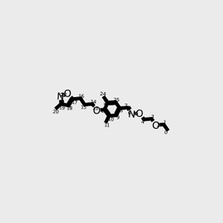 CCOCCON=Cc1cc(C)c(OCCCc2cc(C)no2)c(C)c1